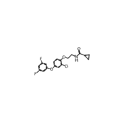 O=C(NCCOc1ccc(Oc2cc(F)cc(F)c2)cc1Cl)C1CC1